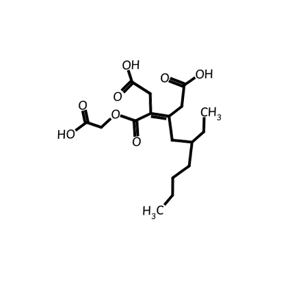 CCCCC(CC)CC(CC(=O)O)=C(CC(=O)O)C(=O)OCC(=O)O